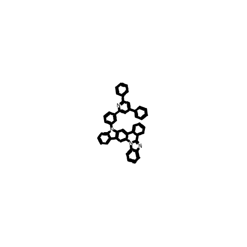 c1ccc(-c2cc(-c3ccccc3)nc(-c3cccc(-n4c5ccccc5c5cc6c(cc54)c4ccccc4c4nc5ccccc5n64)c3)c2)cc1